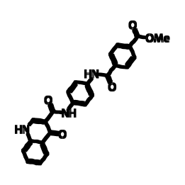 COC(=O)c1ccc(C(=O)Nc2ccc(NC(=O)c3c[nH]c4ccccc4c3=O)cc2)cc1